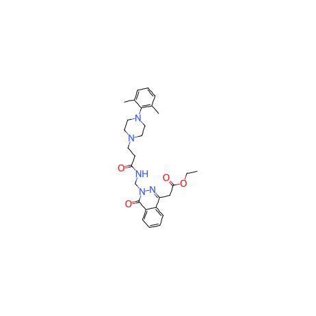 CCOC(=O)Cc1nn(CNC(=O)CCN2CCN(c3c(C)cccc3C)CC2)c(=O)c2ccccc12